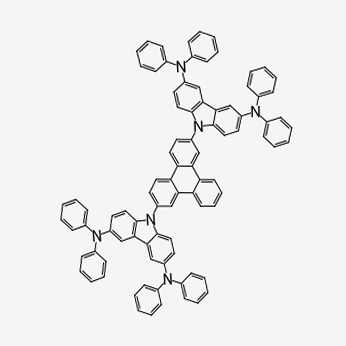 c1ccc(N(c2ccccc2)c2ccc3c(c2)c2cc(N(c4ccccc4)c4ccccc4)ccc2n3-c2ccc3c4ccc(-n5c6ccc(N(c7ccccc7)c7ccccc7)cc6c6cc(N(c7ccccc7)c7ccccc7)ccc65)cc4c4ccccc4c3c2)cc1